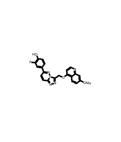 COc1ccc2c(OCc3nnc4ccc(-c5ccc(O)c(F)c5)nn34)ccnc2c1